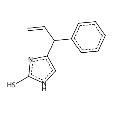 C=CC(c1ccccc1)c1c[nH]c(S)n1